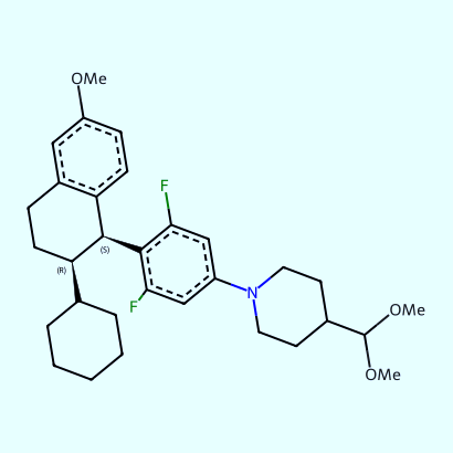 COc1ccc2c(c1)CC[C@H](C1CCCCC1)[C@@H]2c1c(F)cc(N2CCC(C(OC)OC)CC2)cc1F